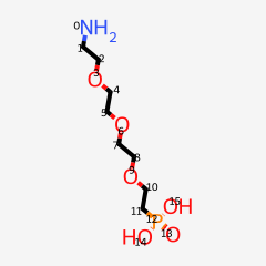 NCCOCCOCCOCCP(=O)(O)O